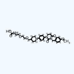 COc1ccc(CN2C(=O)CCN(c3ccc(N4CCC(COCCOCCNC(=O)O)CC4)cc3)C2=O)cc1